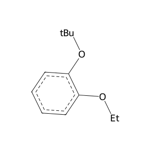 CCOc1ccccc1OC(C)(C)C